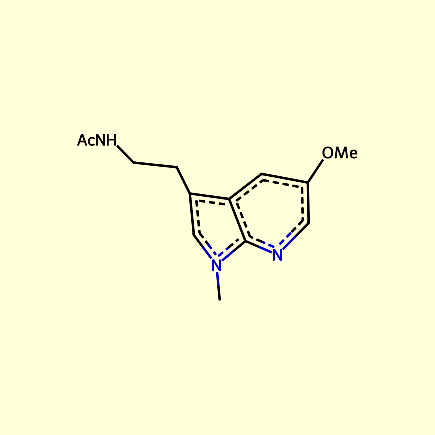 COc1cnc2c(c1)c(CCNC(C)=O)cn2C